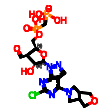 O=CC1[C@@H](O)[C@H](n2ncc3c(N4CC5COCC5C4)nc(Cl)nc32)O[C@@H]1COP(=O)(O)CP(=O)(O)O